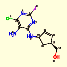 Nc1c(Cl)nc(I)nc1N[C@H]1C=C[C@@H](CO)C1